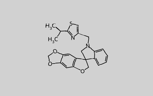 CC(C)c1nc(CN2CC3(COc4cc5c(cc43)OCO5)c3ccccc32)cs1